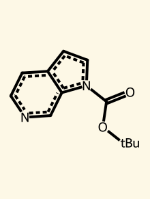 CC(C)(C)OC(=O)n1ccc2ccncc21